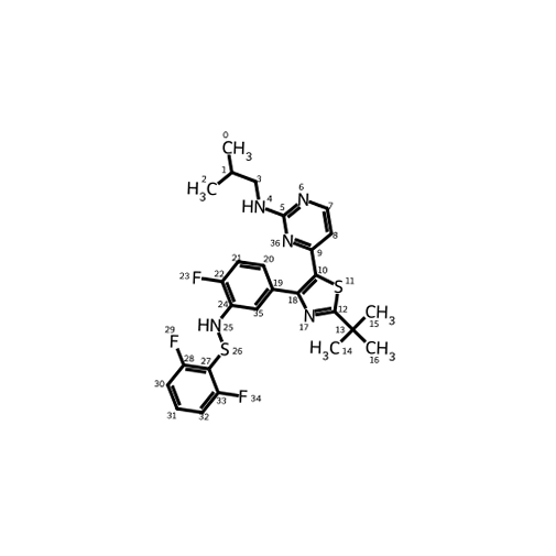 CC(C)CNc1nccc(-c2sc(C(C)(C)C)nc2-c2ccc(F)c(NSc3c(F)cccc3F)c2)n1